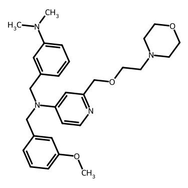 COc1cccc(CN(Cc2cccc(N(C)C)c2)c2ccnc(COCCN3CCOCC3)c2)c1